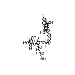 C[C@]12C=CC(=O)C=C1CC[C@@H]1[C@@H]2[C@@H](O)C[C@@]2(C)[C@H]1C[C@H]1O[C@@H](c3ccc(Cc4cnc(NC(=O)OCc5ccc(O[C@@H]6O[C@H](C(=O)O)[C@@H](O)[C@H](O)[C@H]6O)c(NC(=O)CCNC(=O)CON)c5)s4)cc3)O[C@]12C(=O)CO